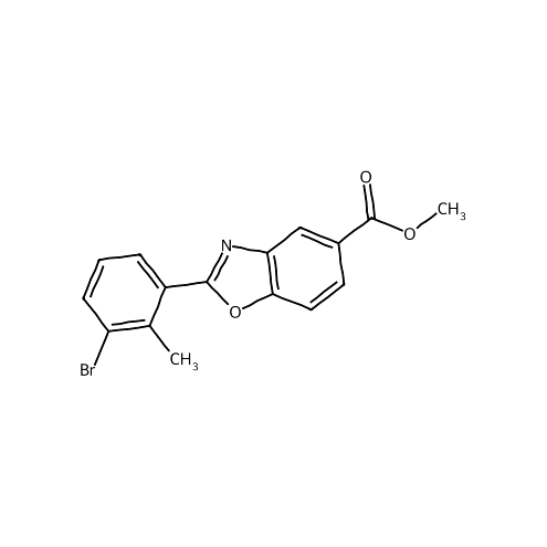 COC(=O)c1ccc2oc(-c3cccc(Br)c3C)nc2c1